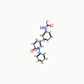 CC(=O)Nc1cccc(-c2ccc(=O)n(-c3ccccc3)c2)c1